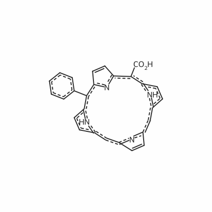 O=C(O)c1c2nc(c(-c3ccccc3)c3ccc(cc4nc(cc5ccc1[nH]5)C=C4)[nH]3)C=C2